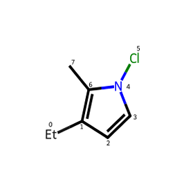 CCc1ccn(Cl)c1C